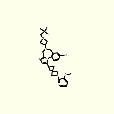 COc1cccnc1N1CC2(CC(c3nnc4n3-c3ccc(Cl)cc3CN(C3CN(CC(F)(F)F)C3)C4)C2)C1